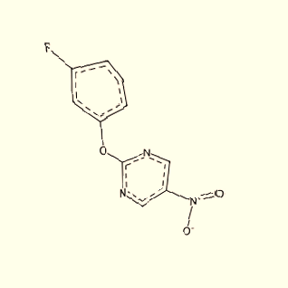 O=[N+]([O-])c1cnc(Oc2cccc(F)c2)nc1